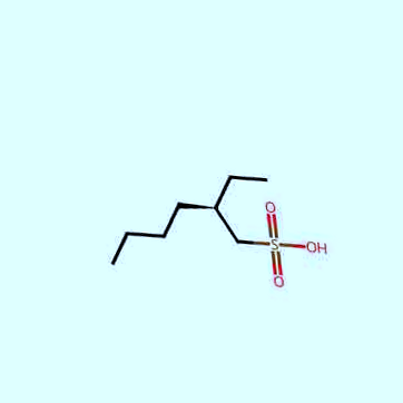 CCCC[C@@H](CC)CS(=O)(=O)O